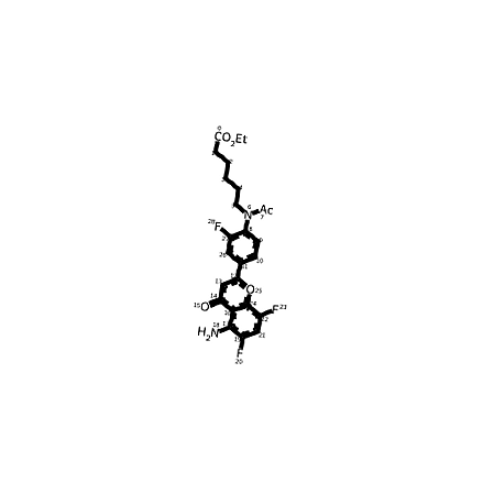 CCOC(=O)CCCCCN(C(C)=O)c1ccc(-c2cc(=O)c3c(N)c(F)cc(F)c3o2)cc1F